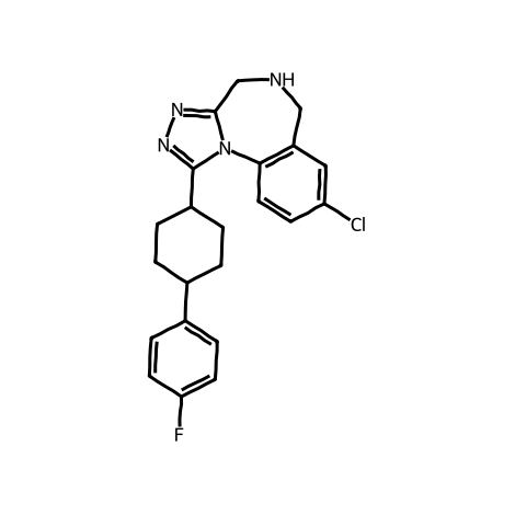 Fc1ccc(C2CCC(c3nnc4n3-c3ccc(Cl)cc3CNC4)CC2)cc1